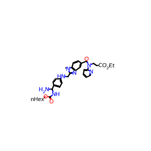 CCCCCCOC(=O)NC(N)c1ccc(NCc2nc3cc(C(=O)N(CCC(=O)OCC)c4ccccn4)ccc3n2C)cc1